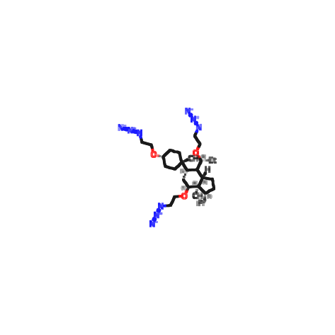 CC[C@@H](OCCN=[N+]=[N-])C1[C@@H]2CC[C@H](C(C)C)[C@@]2(C)[C@@H](OCCN=[N+]=[N-])C[C@@H]1[C@]1(C)CC[C@H](OCCN=[N+]=[N-])CC1